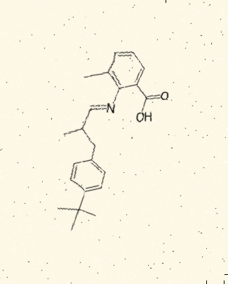 Cc1cccc(C(=O)O)c1N=CC(C)Cc1ccc(C(C)(C)C)cc1